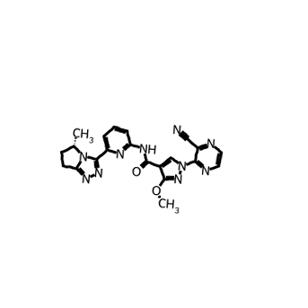 COc1nn(-c2nccnc2C#N)cc1C(=O)Nc1cccc(-c2nnc3n2[C@@H](C)CC3)n1